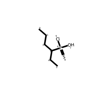 CCCC(CC)P(O)(=S)Cl